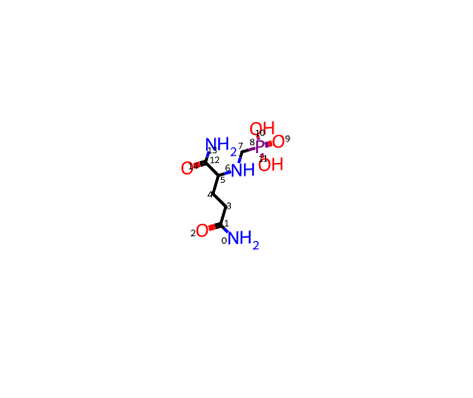 NC(=O)CCC(NCP(=O)(O)O)C(N)=O